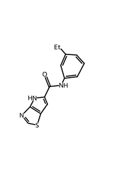 CCc1cccc(NC(=O)c2cc3scnc3[nH]2)c1